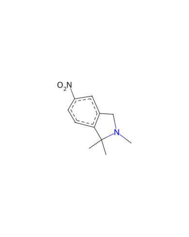 CN1Cc2cc([N+](=O)[O-])ccc2C1(C)C